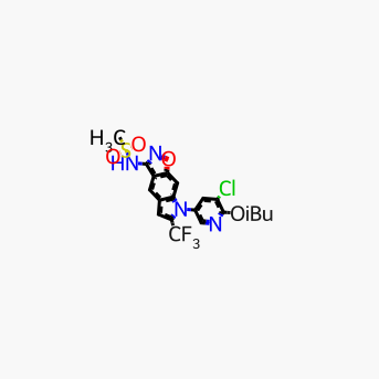 CC(C)COc1ncc(-n2c(C(F)(F)F)cc3cc4c(NS(C)(=O)=O)noc4cc32)cc1Cl